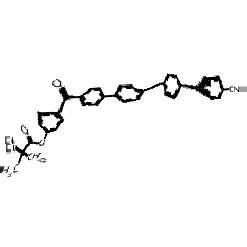 CCC(C)(C)C(=O)Oc1ccc(C(=O)c2ccc(-c3ccc(-c4ccc(-c5ccc(C#N)cc5)cc4)cc3)cc2)cc1